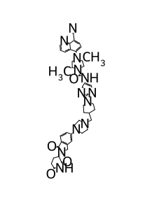 C[C@@H]1CN(c2ccc(C#N)c3ncccc23)[C@@H](C)CN1C(=O)Nc1cnc(N2CCC(CN3CCN(c4ccc5c(c4)CN([C@H]4CCC(=O)NC4=O)C5=O)CC3)CC2)nc1